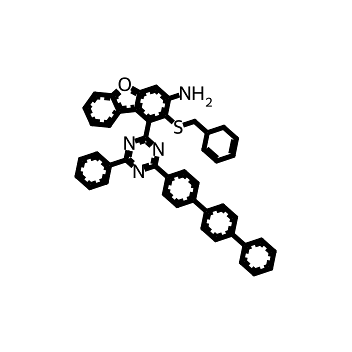 Nc1cc2oc3ccccc3c2c(-c2nc(-c3ccccc3)nc(-c3ccc(-c4ccc(-c5ccccc5)cc4)cc3)n2)c1SCC1C=CC=CC1